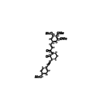 COc1ccc(C#CC2CCCN(C(=O)/C=C/c3cc(OC)c(OC)c(OC)c3)C2=O)cc1